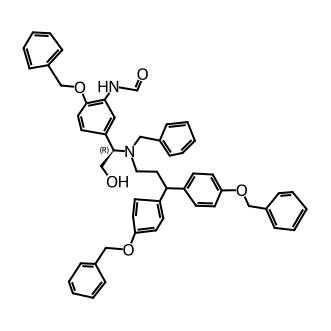 O=CNc1cc([C@H](CO)N(CCC(c2ccc(OCc3ccccc3)cc2)c2ccc(OCc3ccccc3)cc2)Cc2ccccc2)ccc1OCc1ccccc1